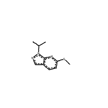 CSc1ccc2cnn(C(C)C)c2n1